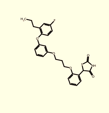 CCCc1cc(F)ccc1Oc1cccc(OCCCOc2ccccc2C2SC(=O)NC2=O)c1